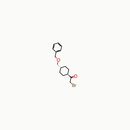 O=C(CBr)[C@H]1CC[C@H](COCc2ccccc2)CC1